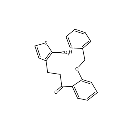 O=C(CCc1ccsc1C(=O)O)c1ccccc1OCc1ccccc1